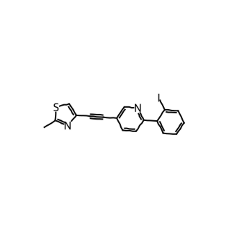 Cc1nc(C#Cc2ccc(-c3ccccc3I)nc2)cs1